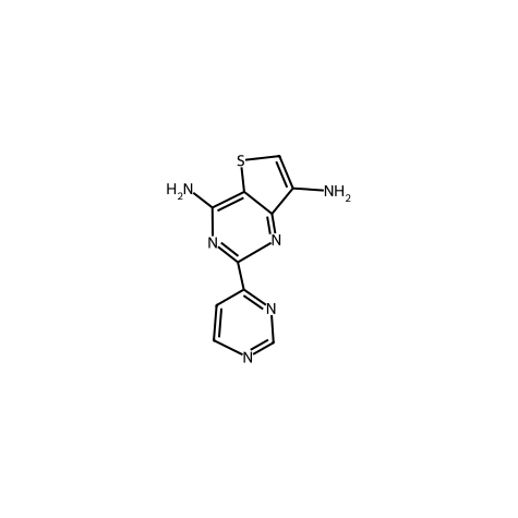 Nc1csc2c(N)nc(-c3ccncn3)nc12